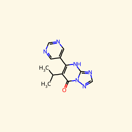 CC(C)c1c(-c2cncnc2)[nH]c2ncnn2c1=O